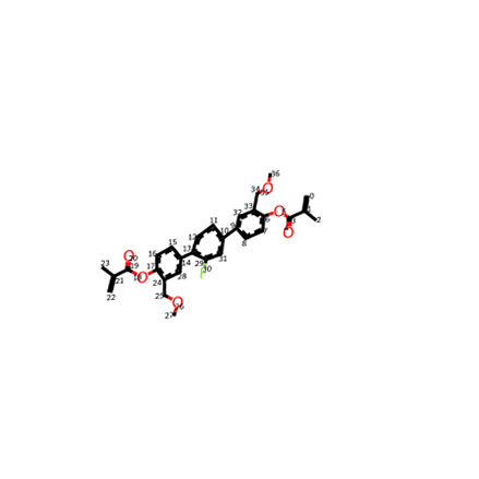 C=C(C)C(=O)Oc1ccc(-c2ccc(-c3ccc(OC(=O)C(=C)C)c(COC)c3)c(F)c2)cc1COC